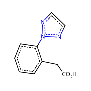 O=C(O)Cc1ccccc1-n1nccn1